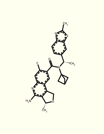 Cc1nc2ccc([C@H](C)N(C(=O)c3cc4c5c(c(N)nc4cc3F)[C@@H](C)OC5)C34CC(C3)C4)cc2s1